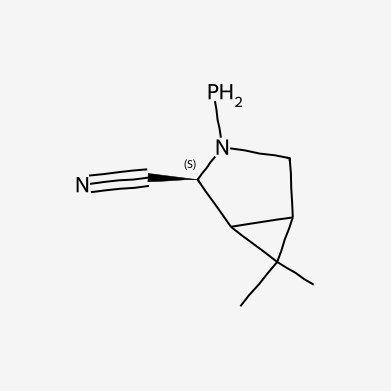 CC1(C)C2CN(P)[C@H](C#N)C21